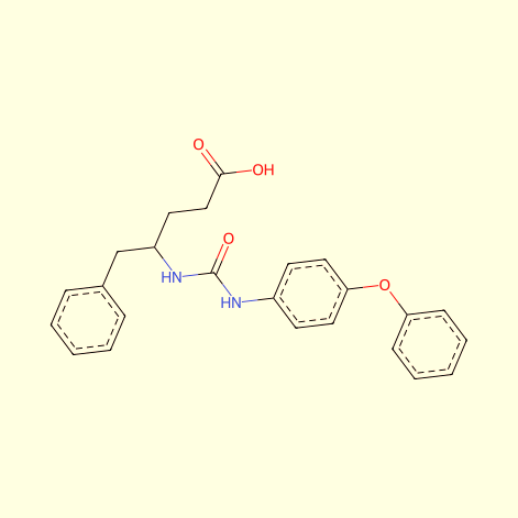 O=C(O)CCC(Cc1ccccc1)NC(=O)Nc1ccc(Oc2ccccc2)cc1